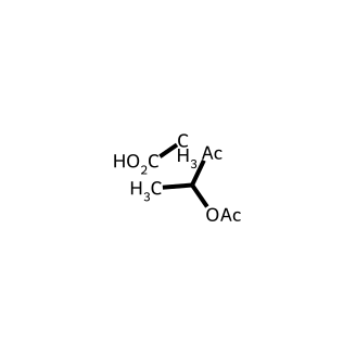 CC(=O)O.CC(=O)OC(C)C(C)=O